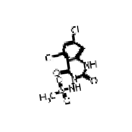 CS(=O)(=O)Nn1c(=O)[nH]c2cc(Cl)cc(Cl)c2c1=O